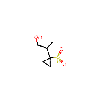 CC(CO)C1([SH](=O)=O)CC1